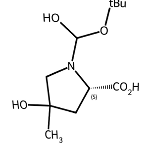 CC1(O)C[C@@H](C(=O)O)N(C(O)OC(C)(C)C)C1